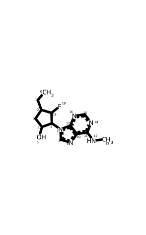 CCC1CC(O)C(n2cnc3c(NC)ncnc32)C1F